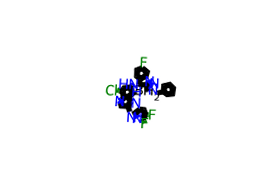 BC(Nc1cc(Cl)c2ncc(C#N)c(Nc3cnc(F)c(F)c3)c2c1)(c1ccc(F)cc1)c1cn(Cc2ccccc2)nn1